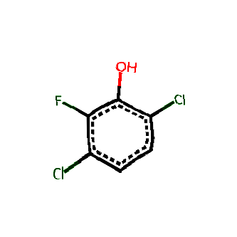 Oc1c(Cl)ccc(Cl)c1F